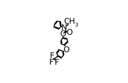 CCN(C(=O)Oc1ccc(Oc2ccc(C(F)(F)F)cc2)cc1)c1ccccc1